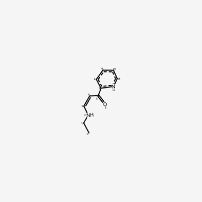 CCN/C=C\C(=O)c1ccccn1